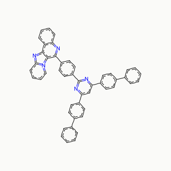 c1ccc(-c2ccc(-c3cc(-c4ccc(-c5ccccc5)cc4)nc(-c4ccc(-c5nc6ccccc6c6nc7ccccn7c56)cc4)n3)cc2)cc1